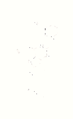 CC#CCn1c(N2CCC[C@@H](N)C2)c(O)c2c1c(=O)n(Cc1ncccc1C#N)c(=O)n2C